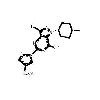 C[C@H]1CC[C@H](n2nc(F)c3nc(-n4cc(C(=O)O)cn4)nc(O)c32)CC1